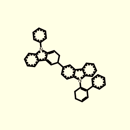 C1=CC(c2ccccc2)=C(n2c3ccccc3c3cc(C4C=c5c(n(-c6ccccc6)c6ccccc56)=CC4)ccc32)CC1